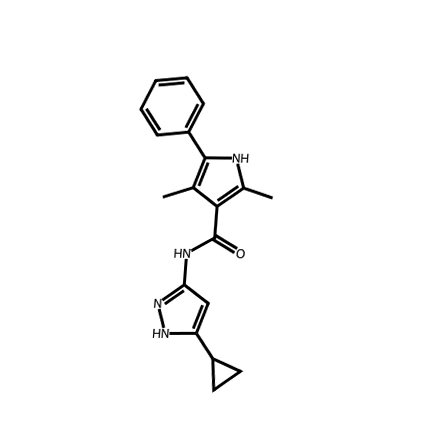 Cc1[nH]c(-c2ccccc2)c(C)c1C(=O)Nc1cc(C2CC2)[nH]n1